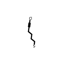 [S]CCCCC#CCl